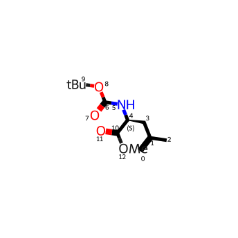 C=C(C)C[C@H](NC(=O)OC(C)(C)C)C(=O)OC